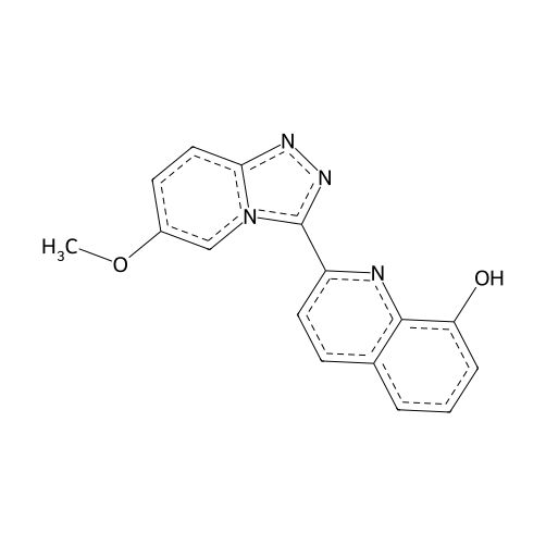 COc1ccc2nnc(-c3ccc4cccc(O)c4n3)n2c1